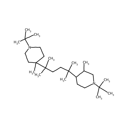 CC1CN(C(C)(C)C)CCC1C(C)(C)CCC(C)(C)C1(C)CCN(C(C)(C)C)CC1